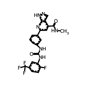 CNC(=O)c1cc(-c2cccc(NC(=O)Nc3cc(C(F)(F)F)ccc3F)c2)nc2[nH]ncc12